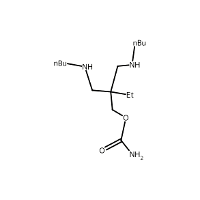 CCCCNCC(CC)(CNCCCC)COC(N)=O